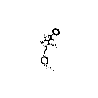 CC(=N)C(=C(/N)NCCN1CCN(C)CC1)/C(Cl)=C(\N)c1ccccc1